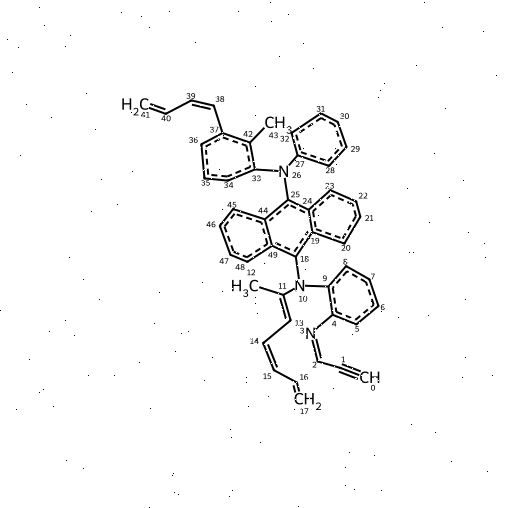 C#C/C=N\c1ccccc1N(/C(C)=C/C=C\C=C)c1c2ccccc2c(N(c2ccccc2)c2cccc(/C=C\C=C)c2C)c2ccccc12